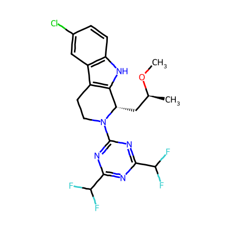 CO[C@@H](C)C[C@H]1c2[nH]c3ccc(Cl)cc3c2CCN1c1nc(C(F)F)nc(C(F)F)n1